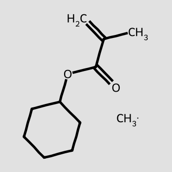 C=C(C)C(=O)OC1CCCCC1.[CH3]